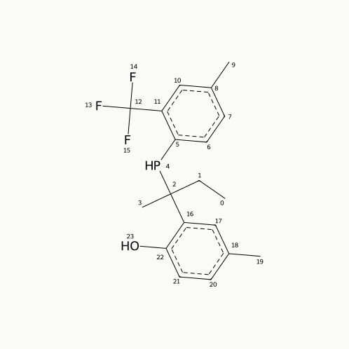 CCC(C)(Pc1ccc(C)cc1C(F)(F)F)c1cc(C)ccc1O